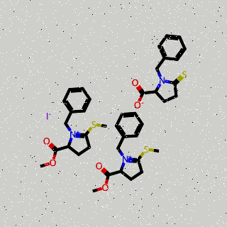 COC(=O)C1CCC(SC)=[N+]1Cc1ccccc1.COC(=O)C1CCC(SC)=[N+]1Cc1ccccc1.O=C([O-])C1CCC(=S)N1Cc1ccccc1.[I-]